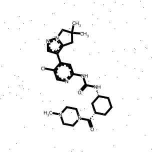 CN1CCN(C(=O)[C@H]2CCC[C@@H](NC(=O)Nc3cc(-c4cnn5c4CC(C)(C)C5)c(Cl)cn3)C2)CC1